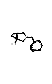 OC12CC1CN(Cc1ccccc1)C2